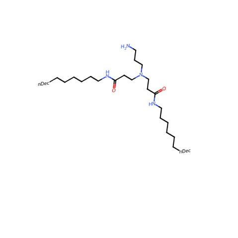 CCCCCCCCCCCCCCCCNC(=O)CCN(CCCN)CCC(=O)NCCCCCCCCCCCCCCCC